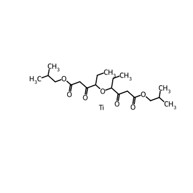 CCC(OC(CC)C(=O)CC(=O)OCC(C)C)C(=O)CC(=O)OCC(C)C.[Ti]